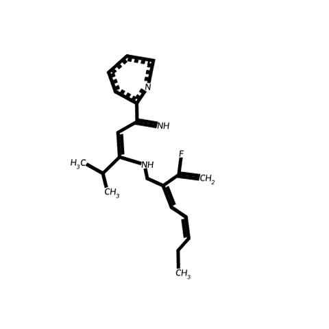 C=C(F)/C(=C\C=C/CC)CN/C(=C\C(=N)c1ccccn1)C(C)C